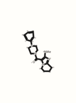 CNc1nc2n(c1C(=O)N1CCN(c3ccccc3)CC1)CCCC2